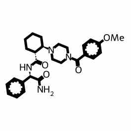 COc1ccc(C(=O)N2CCN([C@@H]3CCCC[C@H]3C(=O)N[C@H](C(N)=O)c3ccccc3)CC2)cc1